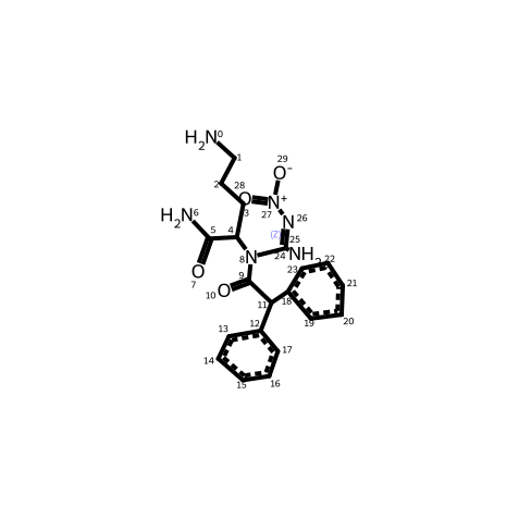 NCCCC(C(N)=O)N(C(=O)C(c1ccccc1)c1ccccc1)/C(N)=N\[N+](=O)[O-]